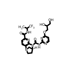 CC(NC(=O)c1ccc2c(n1)N(C(=O)Nc1nccc(OCC(O)CO)n1)[C@H]1CCN2C1)C(F)(F)F